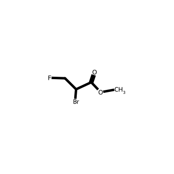 COC(=O)C(Br)CF